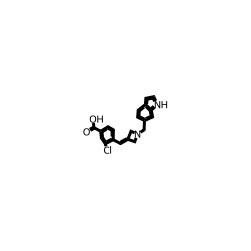 O=C(O)c1ccc(C=C2CN(Cc3ccc4cc[nH]c4c3)C2)c(Cl)c1